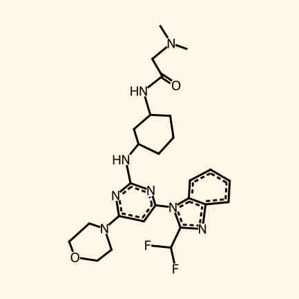 CN(C)CC(=O)NC1CCCC(Nc2nc(N3CCOCC3)cc(-n3c(C(F)F)nc4ccccc43)n2)C1